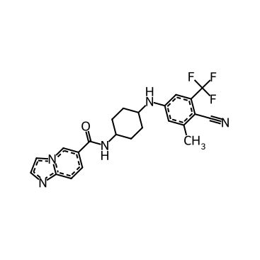 Cc1cc(NC2CCC(NC(=O)c3ccc4nccn4c3)CC2)cc(C(F)(F)F)c1C#N